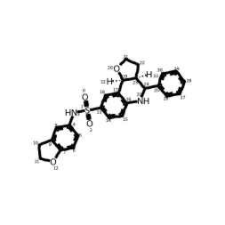 O=S(=O)(Nc1ccc2c(c1)CCO2)c1ccc2c(c1)[C@H]1OCC[C@H]1C(c1ccccc1)N2